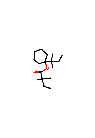 CCC(C)(C)C(=O)OC1(C(C)(C)CC)CCCCC1